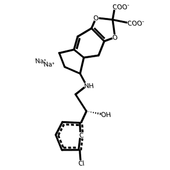 O=C([O-])C1(C(=O)[O-])OC2=C(CC3C(=C2)CCC3NC[C@H](O)c2cccc(Cl)c2)O1.[Na+].[Na+]